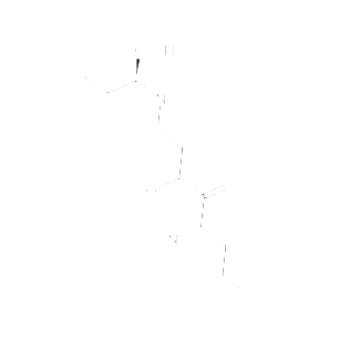 N[C@@H](CCC(=O)O)C(=O)C(O)CSN[C@@H](CS)C(=O)O